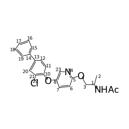 CC(=O)N[C@@H](C)COc1ccc(Oc2ccc(-c3ccccc3)cc2Cl)cn1